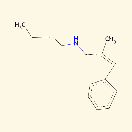 CCCCNC/C(C)=C\c1ccccc1